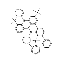 CC(C)(C)c1cc2c3c(c1)N1c4ccccc4C(C)(C)c4cccc(c41)B3N(c1cccc3c1C(C)(C)c1ccccc1-3)c1cc(-c3ccccc3)ccc1-2